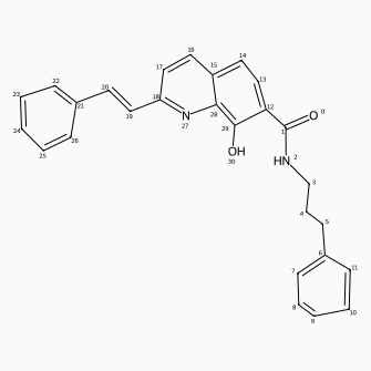 O=C(NCCCc1ccccc1)c1ccc2ccc(C=Cc3ccccc3)nc2c1O